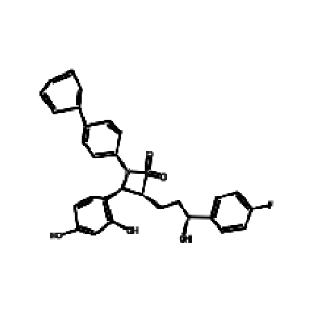 O=S1(=O)[C@@H](CC[C@H](O)c2ccc(F)cc2)[C@@H](c2ccc(O)cc2O)N1c1ccc(-c2ccccc2)cc1